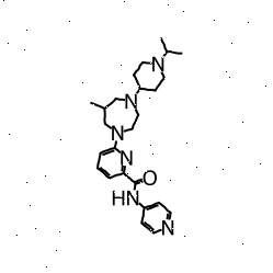 CC1CN(c2cccc(C(=O)Nc3ccncc3)n2)CCN(C2CCN(C(C)C)CC2)C1